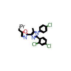 Cc1c(-c2ncc(CC(C)C)o2)nc(-c2ccc(Cl)cc2Cl)n1-c1ccc(Cl)cc1